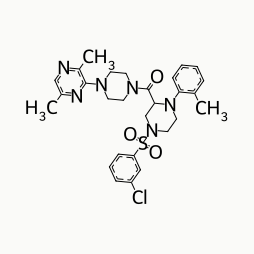 Cc1cnc(C)c(N2CCN(C(=O)C3CN(S(=O)(=O)c4cccc(Cl)c4)CCN3c3ccccc3C)CC2)n1